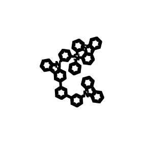 c1ccc([Si](c2ccccc2)(c2cccc(-n3c4ccccc4c4cc(-c5cccc(-c6cccc(-n7c8ccccc8c8ccccc87)c6)c5)ccc43)c2)c2cccc3c2sc2ccccc23)cc1